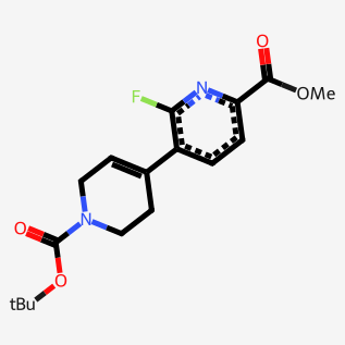 COC(=O)c1ccc(C2=CCN(C(=O)OC(C)(C)C)CC2)c(F)n1